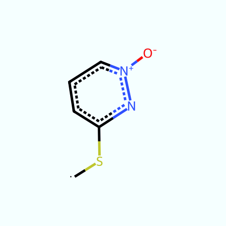 [CH2]Sc1ccc[n+]([O-])n1